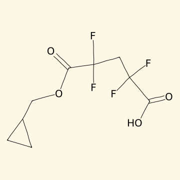 O=C(O)C(F)(F)CC(F)(F)C(=O)OCC1CC1